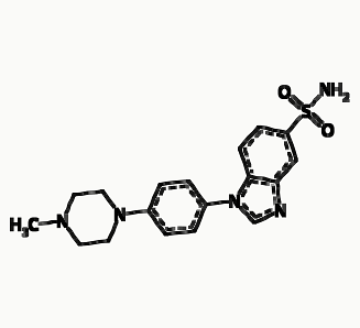 CN1CCN(c2ccc(-n3cnc4cc(S(N)(=O)=O)ccc43)cc2)CC1